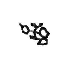 CN1CC[C@@H](C(Nc2ccccc2)(C(=O)O)c2ccccc2)C1